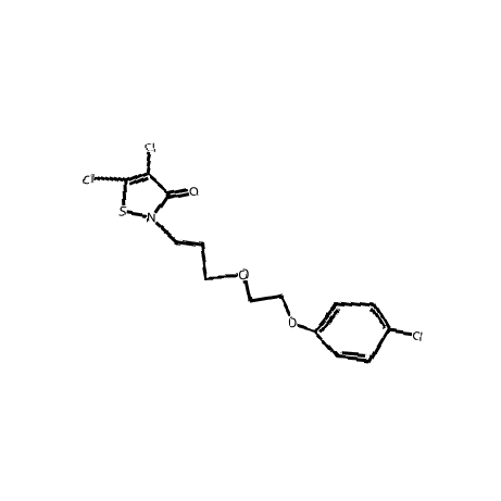 O=c1c(Cl)c(Cl)sn1CCCOCCOc1ccc(Cl)cc1